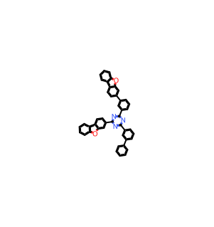 c1ccc(-c2cccc(-c3nc(-c4cccc(-c5ccc6c(c5)oc5ccccc56)c4)nc(-c4ccc5c(c4)oc4ccccc45)n3)c2)cc1